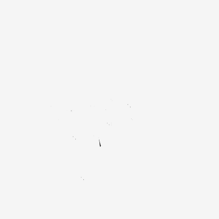 CCOC(=O)CC(O)C(CC(C)C)NC(=O)[C@H](Cc1cccnc1)NC(=O)[C@H](Cc1cccc2ccccc12)NC(=O)OCc1ccccc1